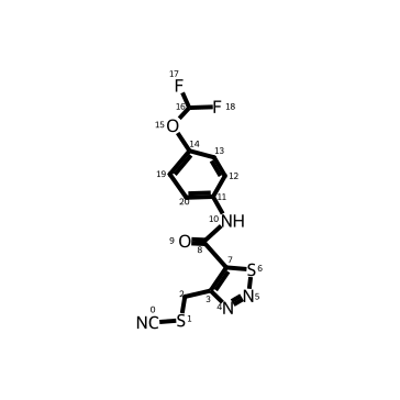 N#CSCc1nnsc1C(=O)Nc1ccc(OC(F)F)cc1